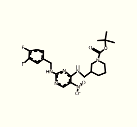 CC(C)(C)OC(=O)N1CCCC(CNc2nc(NCc3ccc(F)c(F)c3)ncc2[N+](=O)[O-])C1